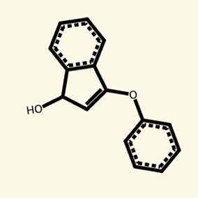 OC1C=C(Oc2ccccc2)c2ccccc21